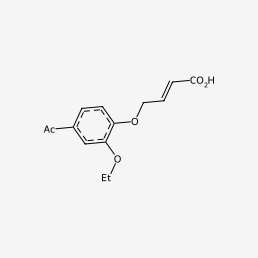 CCOc1cc(C(C)=O)ccc1OCC=CC(=O)O